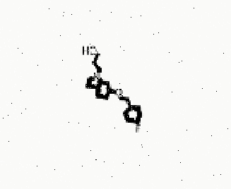 OCCCn1ccc2ccc(OCCc3ccc(F)cc3)cc21